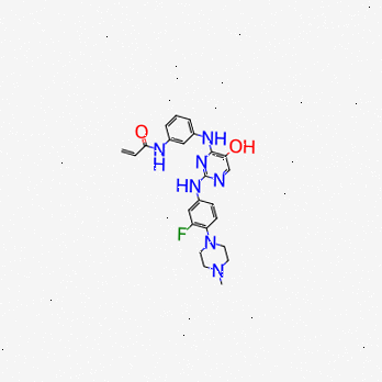 C=CC(=O)Nc1cccc(Nc2nc(Nc3ccc(N4CCN(C)CC4)c(F)c3)ncc2O)c1